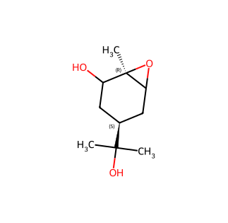 CC(C)(O)[C@H]1CC(O)[C@@]2(C)OC2C1